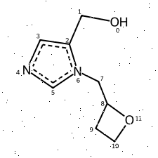 OCc1cncn1CC1CCO1